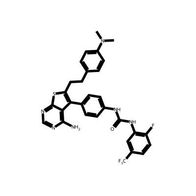 CN(C)c1ccc(CCc2sc3ncnc(N)c3c2-c2ccc(NC(=O)Nc3cc(C(F)(F)F)ccc3F)cc2)cc1